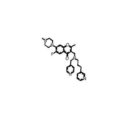 Cc1oc2cc(N3CCN(C)CC3)c(F)cc2c(=O)c1CN(CCCc1cccnc1)Cc1ccncc1